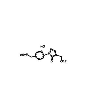 Cl.N=NCc1ccc(-n2ccn(CC(=O)O)c2=O)cc1